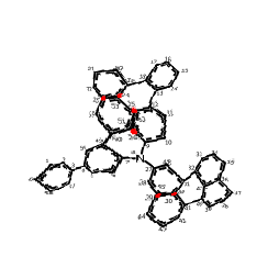 c1ccc(-c2ccc(N(c3ccc(-c4ccccc4-c4ccccc4)cc3)c3cccc(-c4cccc5cccc(-c6ccccc6)c45)c3)c(-c3ccccc3)c2)cc1